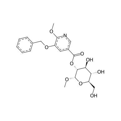 COc1ncc(C(=O)O[C@H]2[C@@H](OC)O[C@H](CO)[C@@H](O)[C@@H]2O)cc1OCc1ccccc1